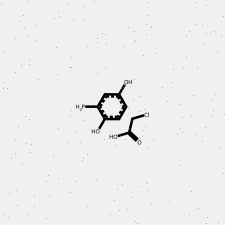 O=C(O)CCl.Oc1ccc(O)c(P)c1